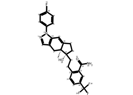 C[C@]12Cc3cnn(-c4ccc(F)cc4)c3C=C1CC[C@@]2(O)CCc1ccc(C(F)(F)F)cc1C(N)=O